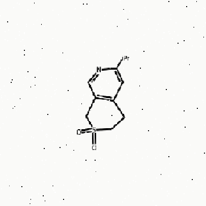 CC(C)c1cc2c(cn1)CS(=O)(=O)CC2